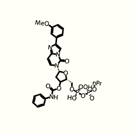 CCCOP(=O)(O)OP(=O)(O)OC[C@H]1O[C@@H](n2ccc3nc(-c4cccc(OC)c4)cn3c2=O)CC1OC(=O)Nc1ccccc1